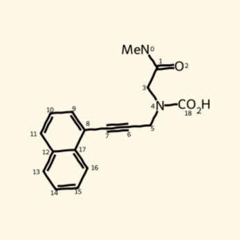 CNC(=O)CN(CC#Cc1cccc2ccccc12)C(=O)O